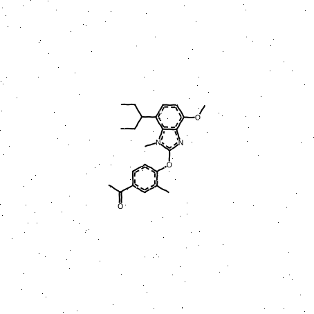 CCC(CC)c1ccc(OC)c2nc(Oc3ccc(C(C)=O)cc3C)n(C)c12